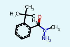 CN(N)C(=O)c1ccccc1C(C)(C)C